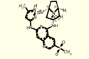 Cc1cc(Nc2cc3ncc(S(C)(=O)=O)cc3c(N[C@H]3C[C@@H]4CC[C@](C(C)(C)C)(C3)N4C(=O)O)n2)n[nH]1